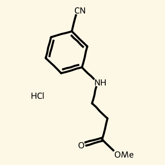 COC(=O)CCNc1cccc(C#N)c1.Cl